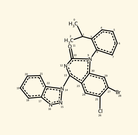 CC(C)c1ccccc1-n1c(=O)nc(-n2nnc3ccccc32)c2cc(Cl)c(Br)cc21